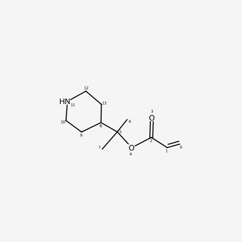 C=CC(=O)OC(C)(C)C1CCNCC1